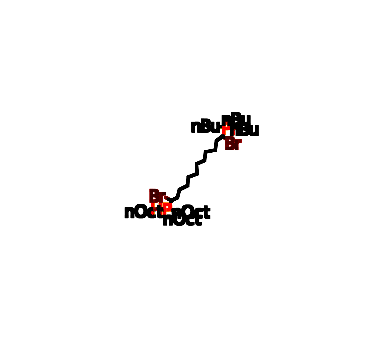 CCCCCCCC[PH](CCCCCCCC)(CCCCCCCC)C(Br)CCCCCCCCCCC(Br)[PH](CCCC)(CCCC)CCCC